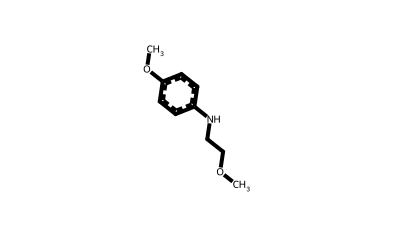 COCCNc1ccc(OC)cc1